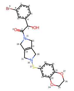 O=C(C(O)c1cccc(Br)c1)N1CC2=C(CN(Sc3ccc4c(c3)OCCO4)C2)C1